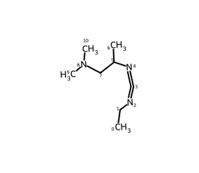 CCN=C=NC(C)CN(C)C